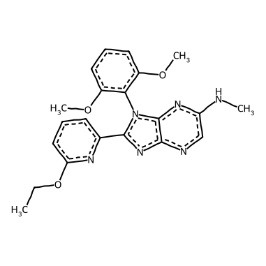 CCOc1cccc(-c2nc3ncc(NC)nc3n2-c2c(OC)cccc2OC)n1